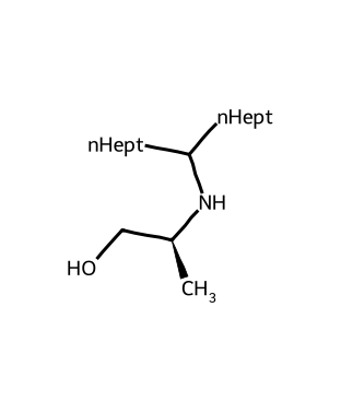 CCCCCCCC(CCCCCCC)N[C@@H](C)CO